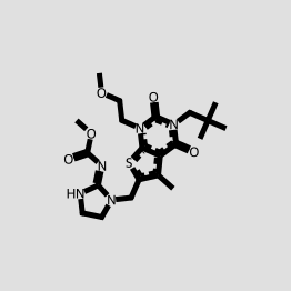 COCCn1c(=O)n(CC(C)(C)C)c(=O)c2c(C)c(CN3CCNC3=NC(=O)OC)sc21